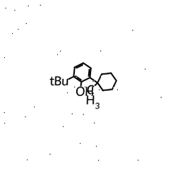 CC(C)(C)c1cccc(C2(C)CCCCC2)c1O